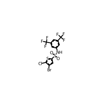 O=S(=O)(Nc1cc(C(F)(F)F)cc(C(F)(F)F)c1)c1cc(Br)c(Cl)s1